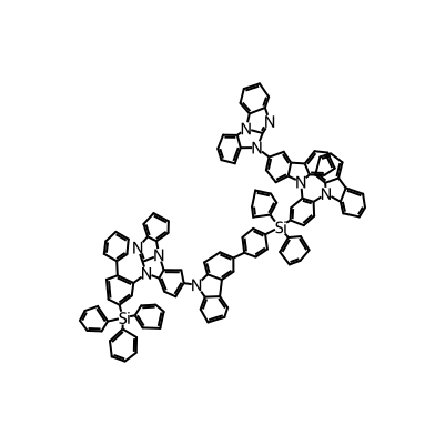 c1ccc(-c2ccc([Si](c3ccccc3)(c3ccccc3)c3ccccc3)cc2-n2c3ccc(-n4c5ccccc5c5cc(-c6ccc([Si](c7ccccc7)(c7ccccc7)c7ccc(-n8c9ccccc9c9ccccc98)c(-n8c9ccccc9c9cc(-n%10c%11ccccc%11n%11c%12ccccc%12nc%10%11)ccc98)c7)cc6)ccc54)cc3n3c4ccccc4nc23)cc1